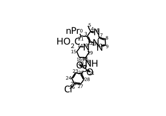 CCCC(C(=O)O)c1c(C)nc2ccnn2c1N1CCC[C@@H](NS(=O)(=O)c2ccc(Cl)cc2)C1